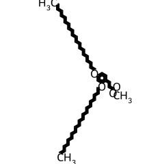 CCCCCCCCCCCCCCCCCCCCCCOc1ccc(CCC(=O)OC)c(OCCCCCCCCCCCCCCCCCCCCCC)c1